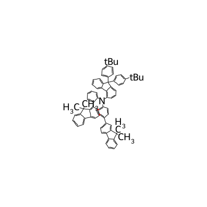 CC(C)(C)c1ccc(C2(c3ccc(C(C)(C)C)cc3)c3ccccc3-c3c(N(c4ccc(-c5ccc6c(c5)C(C)(C)c5ccccc5-6)cc4)c4ccccc4-c4cccc5c4C(C)(C)c4ccccc4-5)cccc32)cc1